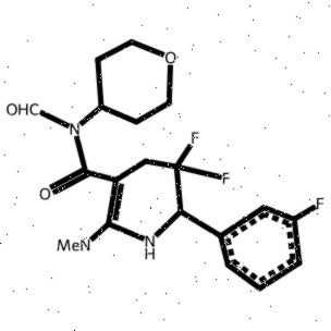 CNC1=C(C(=O)N(C=O)C2CCOCC2)CC(F)(F)C(c2cccc(F)c2)N1